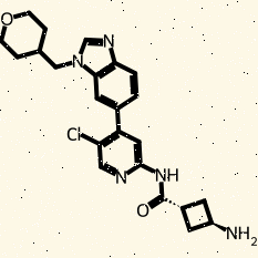 N[C@H]1C[C@H](C(=O)Nc2cc(-c3ccc4ncn(CC5CCOCC5)c4c3)c(Cl)cn2)C1